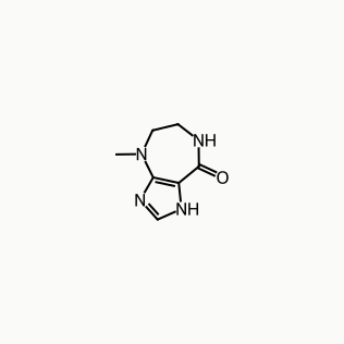 CN1CCNC(=O)c2[nH]cnc21